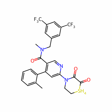 Cc1ccccc1-c1cc(N2CC[SH4]C(=O)C2=O)ncc1C(=O)N(C)Cc1cc(C(F)(F)F)cc(C(F)(F)F)c1